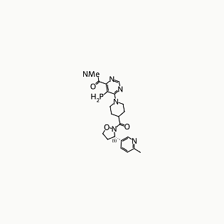 CNC(=O)c1ncnc(N2CCC(C(=O)N3OCC[C@H]3c3ccc(C)nc3)CC2)c1P